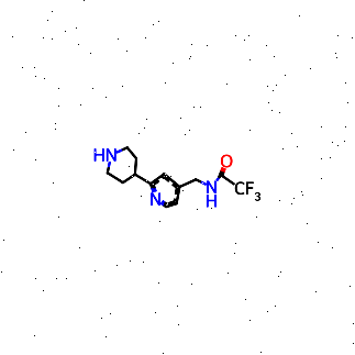 O=C(NCc1ccnc(C2CCNCC2)c1)C(F)(F)F